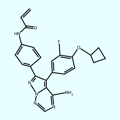 C=CC(=O)Nc1ccc(-c2nn3ncnc(N)c3c2-c2ccc(OC3CCC3)c(F)c2)cc1